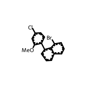 COc1cc(Cl)ccc1-c1cccc2cccc(Br)c12